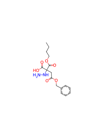 CCCCOC(=O)C(CC(=O)OCc1ccccc1)(NN)C(=O)O